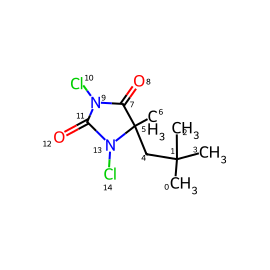 CC(C)(C)CC1(C)C(=O)N(Cl)C(=O)N1Cl